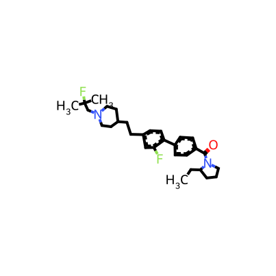 CCC1CCCN1C(=O)c1ccc(-c2ccc(CCC3CCN(CC(C)(C)F)CC3)cc2F)cc1